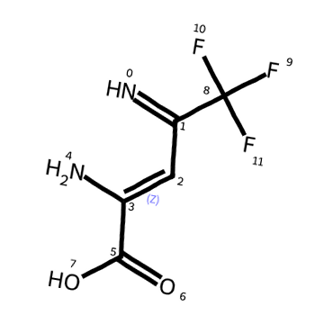 N=C(/C=C(\N)C(=O)O)C(F)(F)F